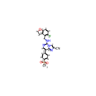 N#Cc1cn2c(NCc3c(F)ccc4c3CCO4)ncc(-c3ccc(S(=O)(=O)C(F)(F)F)cc3)c2n1